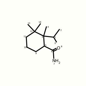 CC(C)C1(C)C(C(N)=O)CCCC1(C)C